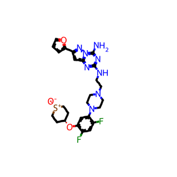 Nc1nc(NCCN2CCN(c3cc(O[C@H]4CC[S@@+]([O-])CC4)c(F)cc3F)CC2)nc2cc(-c3ccco3)nn12